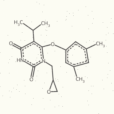 Cc1cc(C)cc(Oc2c(C(C)C)c(=O)[nH]c(=O)n2CC2CO2)c1